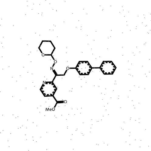 COC(=O)c1ccnc(/C(COc2ccc(-c3ccccc3)cc2)=N/OC2CCCCO2)c1